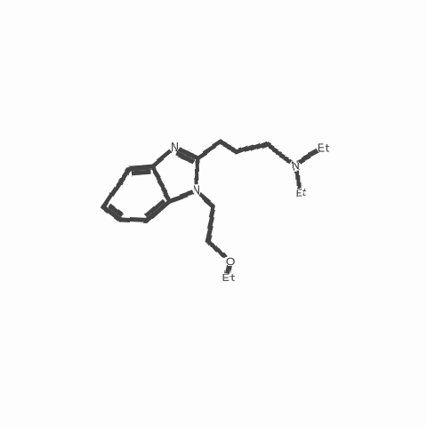 CCOCCn1c(CCCN(CC)CC)nc2ccccc21